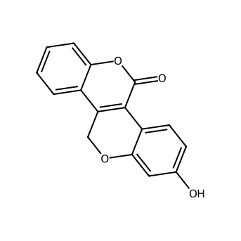 O=c1oc2ccccc2c2c1-c1ccc(O)cc1OC2